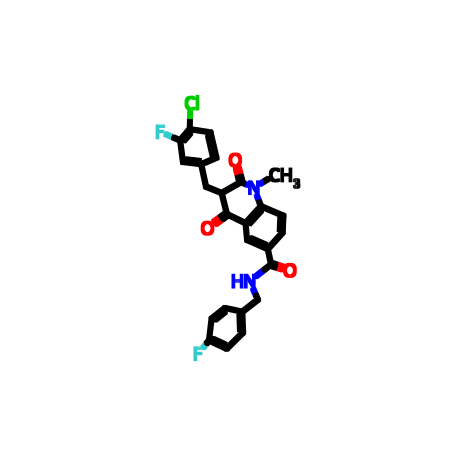 CN1C(=O)C(Cc2ccc(Cl)c(F)c2)C(=O)c2cc(C(=O)NCc3ccc(F)cc3)ccc21